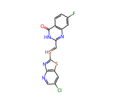 O=c1[nH]c(C=[SH]c2nc3ncc(Cl)cc3s2)nc2cc(F)ccc12